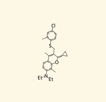 CCN(CC)c1ccc2c(c1C)OC(=C1CC1)C(CSc1ccc(Cl)cc1C)=C2C